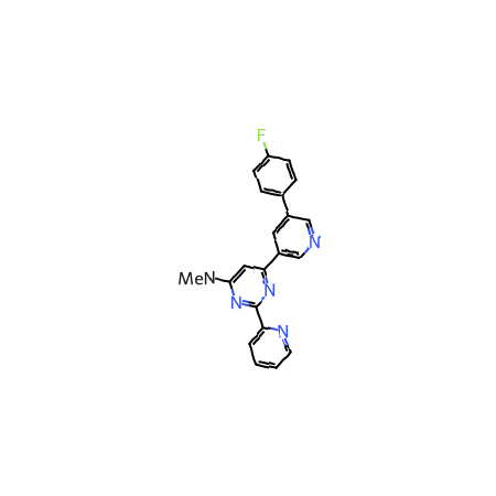 CNc1cc(-c2cncc(-c3ccc(F)cc3)c2)nc(-c2ccccn2)n1